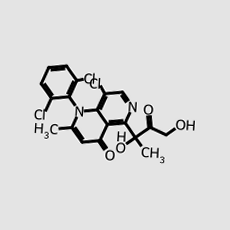 Cc1cc(=O)c2c(C(C)(O)C(=O)CO)ncc(Cl)c2n1-c1c(Cl)cccc1Cl